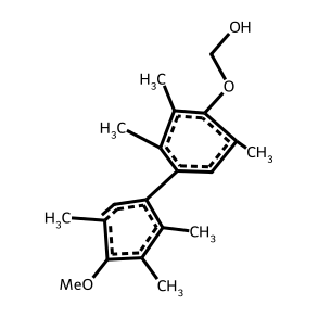 COc1c(C)cc(-c2cc(C)c(OCO)c(C)c2C)c(C)c1C